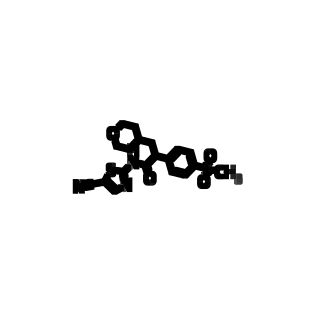 CS(=O)(=O)c1ccc(C(CC2CCOCC2)C(=O)Nc2ncc(C#N)s2)cc1